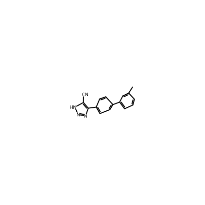 Cc1cccc(-c2ccc(-c3nn[nH]c3C#N)cc2)c1